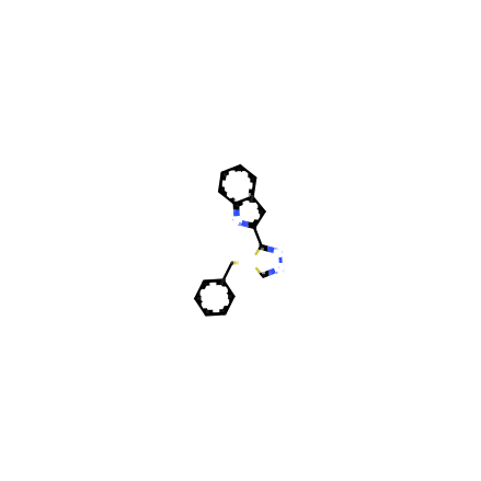 C1=NN=C(c2cc3ccccc3[nH]2)[SH]1Cc1ccccc1